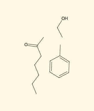 CCCCCC(C)=O.CCO.Cc1ccccc1